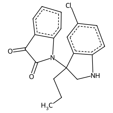 CCCC1(N2C(=O)C(=O)c3ccccc32)CNc2ccc(Cl)cc21